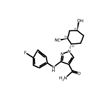 N#C[C@H]1C[C@@H](O)CC[C@@H]1n1cc(C(N)=O)c(Nc2ccc(F)cc2)n1